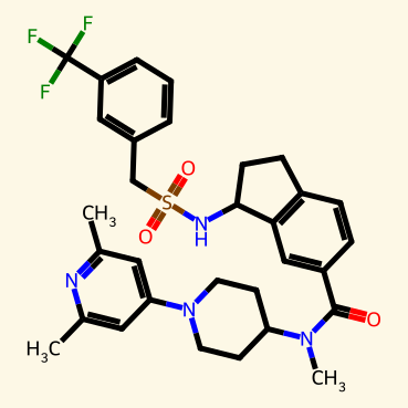 Cc1cc(N2CCC(N(C)C(=O)c3ccc4c(c3)C(NS(=O)(=O)Cc3cccc(C(F)(F)F)c3)CC4)CC2)cc(C)n1